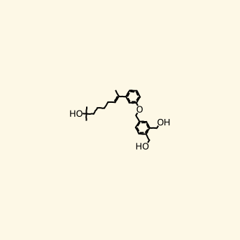 CC(=CCCCCC(C)(C)O)c1cccc(OCc2ccc(CO)c(CO)c2)c1